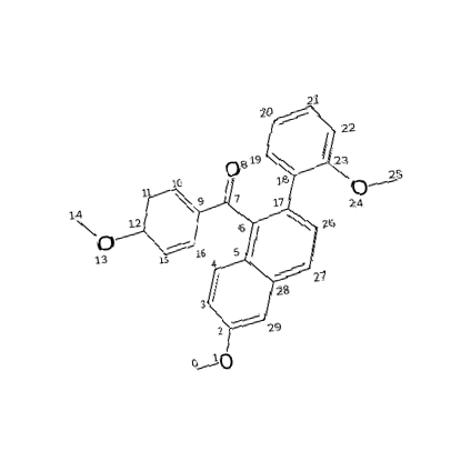 COc1ccc2c(C(=O)C3=CCC(OC)C=C3)c(-c3ccccc3OC)ccc2c1